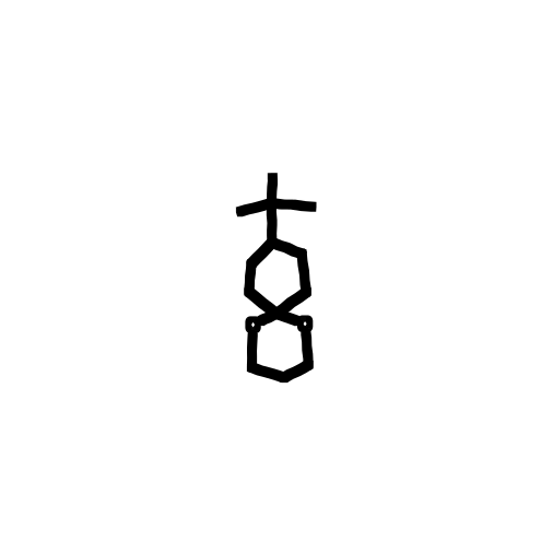 CC(C)(C)C1CCC2(CC1)OCCCO2